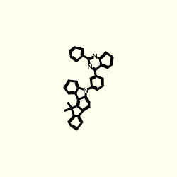 CC1(C)c2ccccc2-c2ccc3c(c21)c1ccccc1n3-c1cccc(-c2nc(-c3ccccc3)nc3ccccc23)c1